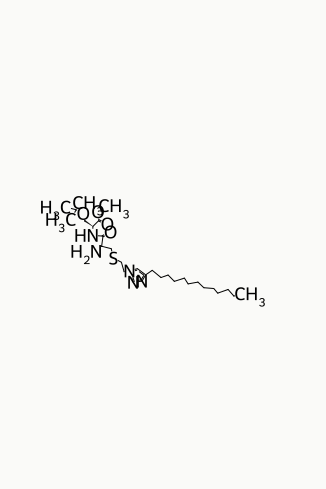 CCCCCCCCCCCCCc1cn(CCSC[C@H](N)C(=O)N[C@@H](COC(C)(C)C)C(=O)OC)nn1